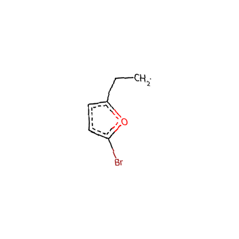 [CH2]Cc1ccc(Br)o1